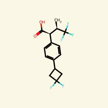 C[C@H]([C@H](C(=O)O)c1ccc(C2CC(F)(F)C2)cc1)C(F)(F)F